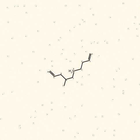 C=CCC[SiH2]CC(C)CC=C